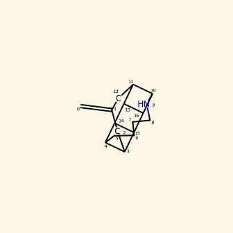 C=C1CC2C3CCCCNC4C(C1)C1C3C2C41